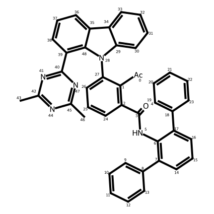 CC(=O)c1c(C(=O)Nc2c(-c3ccccc3)cccc2-c2ccccc2)cccc1-n1c2ccccc2c2cccc(-c3nc(C)nc(C)n3)c21